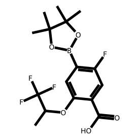 CC(Oc1cc(B2OC(C)(C)C(C)(C)O2)c(F)cc1C(=O)O)C(F)(F)F